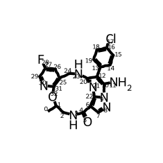 CC1CNC(=O)c2cnn3c(N)c(-c4ccc(Cl)cc4)c(nc23)NCc2cc(F)cnc2O1